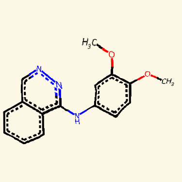 COc1ccc(Nc2nncc3ccccc23)cc1OC